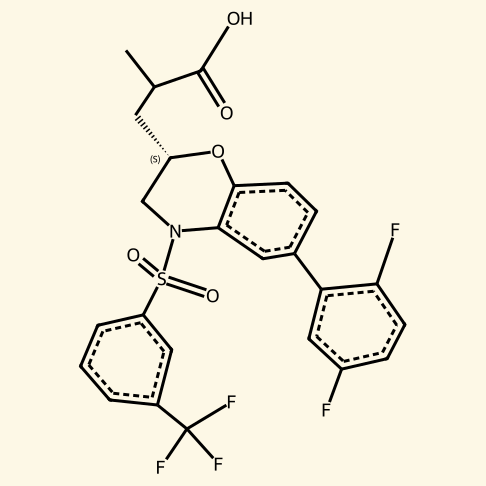 CC(C[C@H]1CN(S(=O)(=O)c2cccc(C(F)(F)F)c2)c2cc(-c3cc(F)ccc3F)ccc2O1)C(=O)O